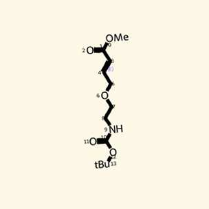 COC(=O)/C=C/COCCNC(=O)OC(C)(C)C